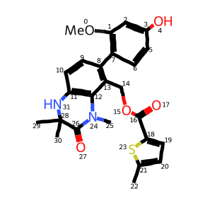 COc1cc(O)ccc1-c1ccc2c(c1COC(=O)c1ccc(C)s1)N(C)C(=O)C(C)(C)N2